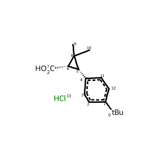 CC(C)(C)c1ccc([C@@H]2[C@H](C(=O)O)C2(C)C)cc1.Cl